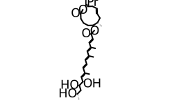 CC(=C\C=C\C(C)=C\[C@H](O)[C@H](O)C[C@H](C)O)/C=C(C)/C=C/C(=O)O[C@H]1CCCC(=O)OC(C(C)C)C/C=C/C[C@@H]1C